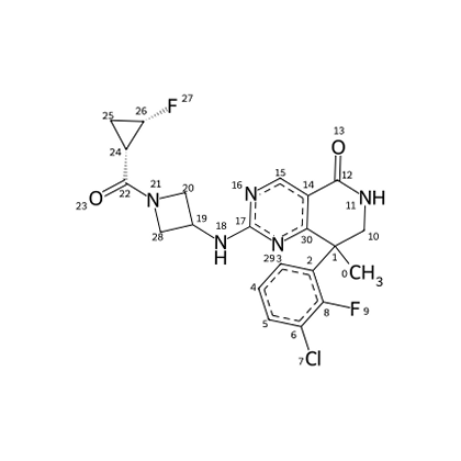 CC1(c2cccc(Cl)c2F)CNC(=O)c2cnc(NC3CN(C(=O)[C@@H]4C[C@@H]4F)C3)nc21